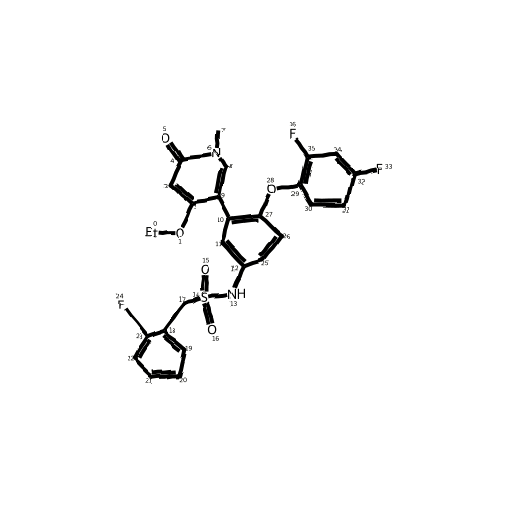 CCOc1cc(=O)n(C)cc1-c1cc(NS(=O)(=O)Cc2ccccc2F)ccc1Oc1ccc(F)cc1F